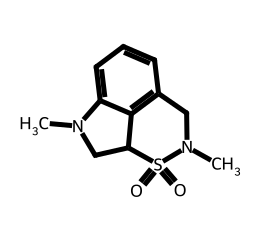 CN1CC2c3c(cccc31)CN(C)S2(=O)=O